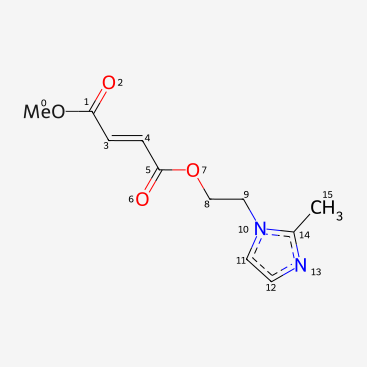 COC(=O)/C=C/C(=O)OCCn1ccnc1C